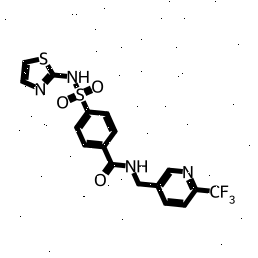 O=C(NCc1ccc(C(F)(F)F)nc1)c1ccc(S(=O)(=O)Nc2nccs2)cc1